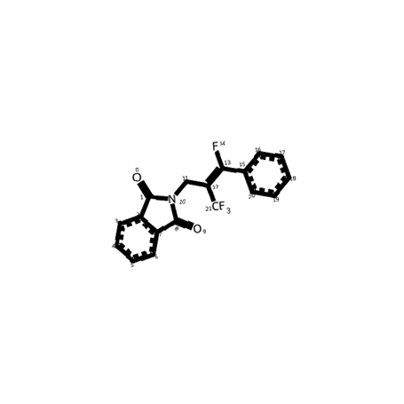 O=C1c2ccccc2C(=O)N1CC(=C(F)c1ccccc1)C(F)(F)F